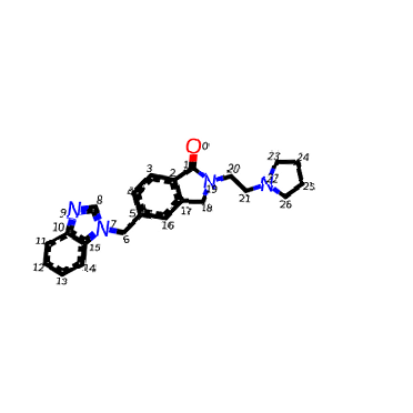 O=C1c2ccc(Cn3cnc4ccccc43)cc2CN1CCN1CCCC1